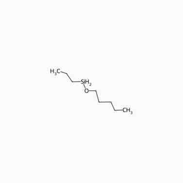 CCCCCO[SiH2]CCC